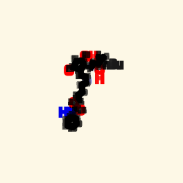 CCCCC(C)(C)[C@H](O)/C=C/[C@H]1[C@H](O)CC(=O)[C@@H]1C/C=C\CCCCOC(=O)Nc1ccccc1